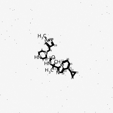 Cn1cc(CN2CCNC[C@H]2C(=O)NC(C)(C)c2ncc3c(C4CC4)cccn23)cn1